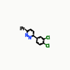 CC(C)c1ccc(-c2ccc(Cl)c(Cl)c2)nn1